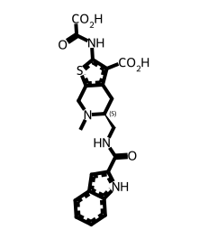 CN1Cc2sc(NC(=O)C(=O)O)c(C(=O)O)c2C[C@H]1CNC(=O)c1cc2ccccc2[nH]1